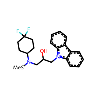 CSN(CC(O)Cn1c2ccccc2c2ccccc21)C1CCC(F)(F)CC1